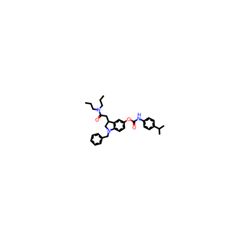 CCCN(CCC)C(=O)CC1CN(Cc2ccccc2)c2ccc(OC(=O)Nc3ccc(C(C)C)cc3)cc21